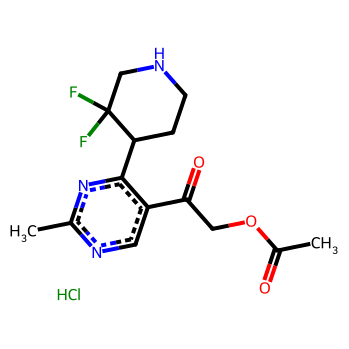 CC(=O)OCC(=O)c1cnc(C)nc1C1CCNCC1(F)F.Cl